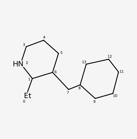 CCC1NCCCC1CC1CCCCC1